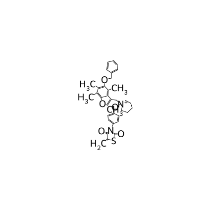 C=C1SC(=O)N(c2ccc(O[N+]3(Cc4c(C)oc5c(C)c(C)c(OCc6ccccc6)c(C)c45)CCCCC3)cc2)C1=O